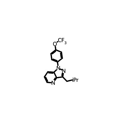 CC(C)Cc1nn(-c2ccc(OC(F)(F)F)cc2)c2cccnc12